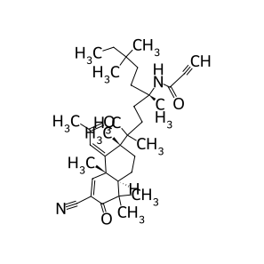 C#CC(=O)N[C@@](C)(CCC(C)(C)CC)CCC(C)(C)[C@]1(C)CC[C@H]2C(C)(C)C(=O)C(C#N)=C[C@]2(C)/C1=C/C(C)=O